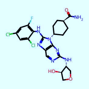 NC(=O)[C@H]1CC[C@H](n2c(Nc3c(F)cc(Cl)cc3Cl)nc3cnc(N[C@@H]4COC[C@H]4O)nc32)CC1